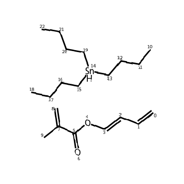 C=CC=COC(=O)C(=C)C.CCC[CH2][SnH]([CH2]CCC)[CH2]CCC